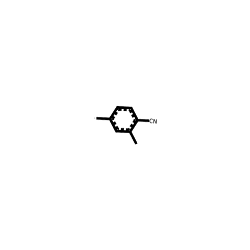 [CH2]c1ccc(C#N)c(C)c1